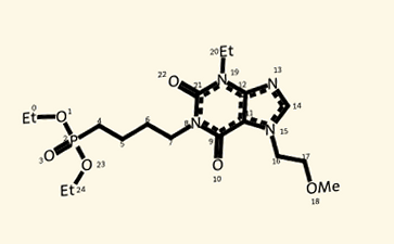 CCOP(=O)(CCCCn1c(=O)c2c(ncn2CCOC)n(CC)c1=O)OCC